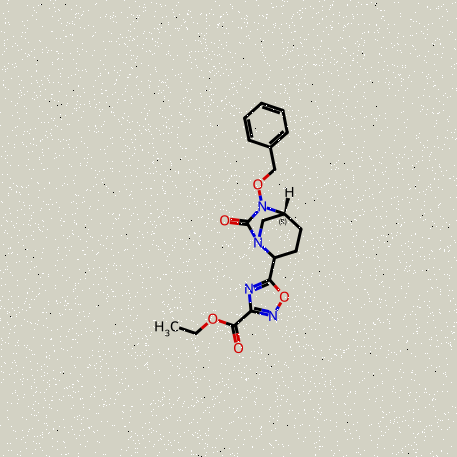 CCOC(=O)c1noc(C2CC[C@@H]3CN2C(=O)N3OCc2ccccc2)n1